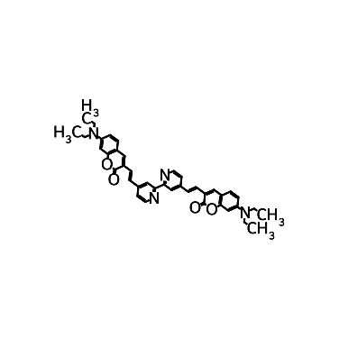 CCN(CC)c1ccc2cc(/C=C/c3ccnc(-c4cc(/C=C/c5cc6ccc(N(CC)CC)cc6oc5=O)ccn4)c3)c(=O)oc2c1